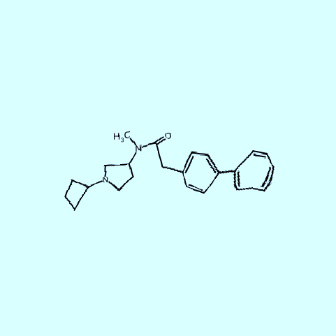 CN(C(=O)Cc1ccc(-c2ccccc2)cc1)C1CCN(C2CCC2)C1